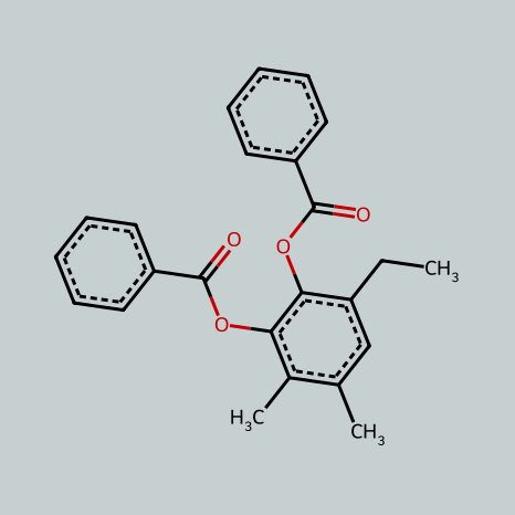 CCc1cc(C)c(C)c(OC(=O)c2ccccc2)c1OC(=O)c1ccccc1